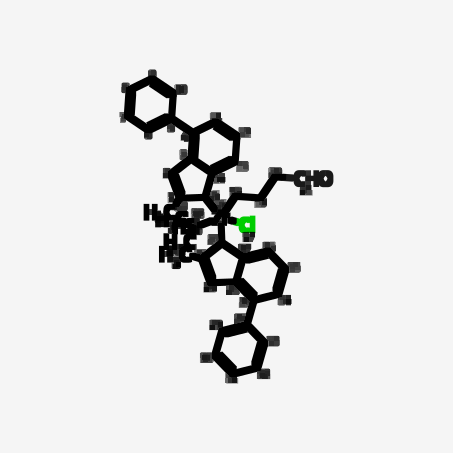 CC1=Cc2c(-c3ccccc3)cccc2[CH]1[Zr]([Cl])([CH2]CCC=O)([CH]1C(C)=Cc2c(-c3ccccc3)cccc21)[SiH](C)C